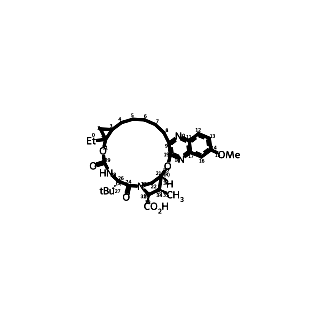 CCC12CC1CCCCCc1nc3ccc(OC)cc3nc1O[C@H]1CN(C(=O)[C@H](C(C)(C)C)NC(=O)O2)[C@H](C(=O)O)[C@@H]1C